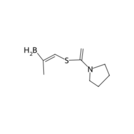 B/C(C)=C/SC(=C)N1CCCC1